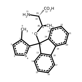 Cc1ccsc1C1(O[C@H](C)[C@H](N)C(=O)O)c2ccccc2-c2ccccc21